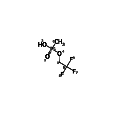 CP(=O)(O)OCC(F)(F)F